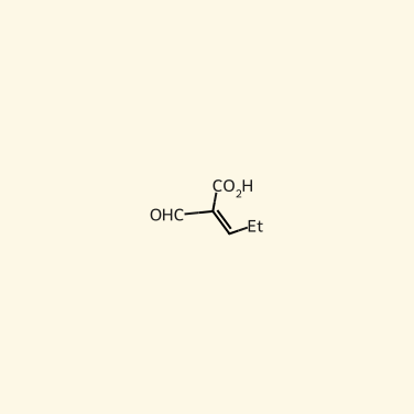 CC/C=C(/C=O)C(=O)O